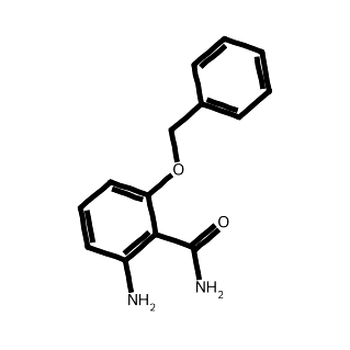 NC(=O)c1c(N)cccc1OCc1ccccc1